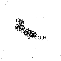 C[C@@H]1O[C@@H](O[C@H]2CC[C@@]3(C)[C@H](CC[C@@H]4[C@@H]3CC[C@]3(C)[C@@H](C(=O)O)CC[C@]43N)C2)[C@@H]2OC(C)(C)O[C@@H]2[C@H]1O[Si](C)(C)C(C)(C)C